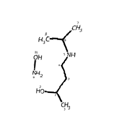 CC(O)CCNC(C)C.NO